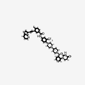 Cc1ccc(C(=O)Nc2ccc(N3CCN(C4CCN(Cc5ccncc5N5CCC(=O)NC5=O)CC4)CC3)c(C(F)(F)F)c2)cc1C#Cc1cnc2cccnn12